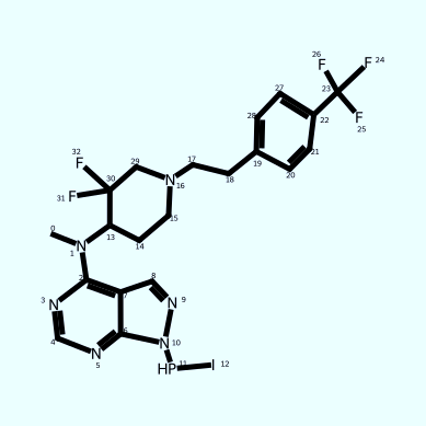 CN(c1ncnc2c1cnn2PI)C1CCN(CCc2ccc(C(F)(F)F)cc2)CC1(F)F